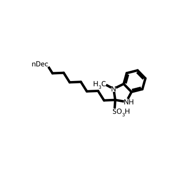 CCCCCCCCCCCCCCCCCC1(S(=O)(=O)O)Nc2ccccc2N1C